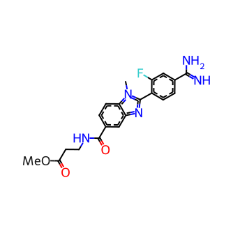 COC(=O)CCNC(=O)c1ccc2c(c1)nc(-c1ccc(C(=N)N)cc1F)n2C